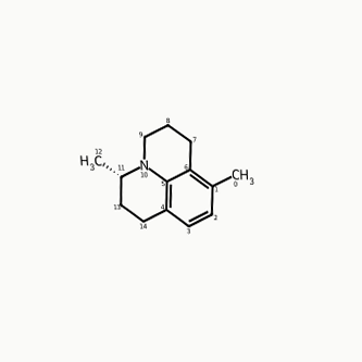 Cc1ccc2c3c1CCCN3[C@@H](C)CC2